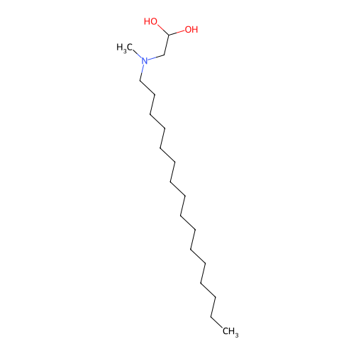 CCCCCCCCCCCCCCCCN(C)CC(O)O